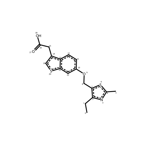 CCc1nc(C)sc1COc1ccc2c(CC(=O)O)csc2c1